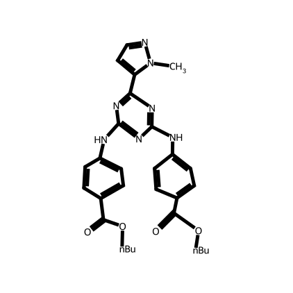 CCCCOC(=O)c1ccc(Nc2nc(Nc3ccc(C(=O)OCCCC)cc3)nc(-c3ccnn3C)n2)cc1